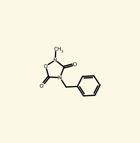 Cn1oc(=O)n(Cc2ccccc2)c1=O